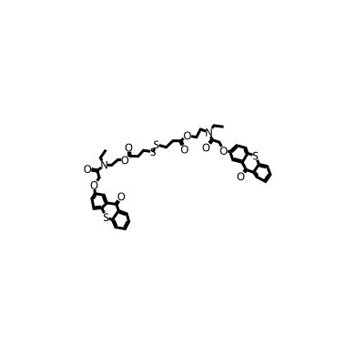 CCN(CCOC(=O)CCSSCCC(=O)OCCN(CC)C(=O)COc1ccc2sc3ccccc3c(=O)c2c1)C(=O)COc1ccc2sc3ccccc3c(=O)c2c1